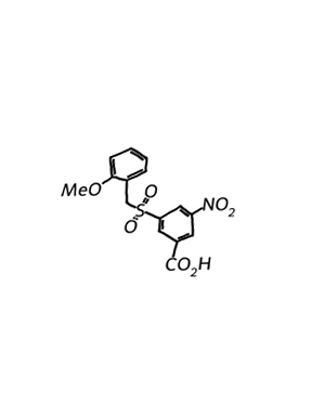 COc1ccccc1CS(=O)(=O)c1cc(C(=O)O)cc([N+](=O)[O-])c1